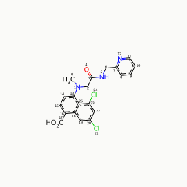 CN(CC(=O)NCc1ccccn1)c1ccc(C(=O)O)c2cc(Cl)cc(Cl)c12